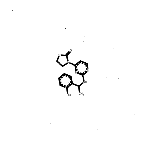 CC(Nc1nccc(N2CCOC2=O)n1)c1ccccc1O